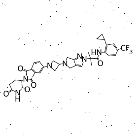 CC(C)(C(=O)Nc1ccc(C(F)(F)F)cc1C1CC1)n1cc2c(n1)CN(C1CN(c3ccc4c(c3)C(=O)N(C3CCC(=O)NC3=O)C4=O)C1)C2